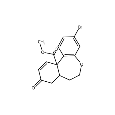 COC(=O)C12C=CC(=O)CC1CCOc1cc(Br)ccc12